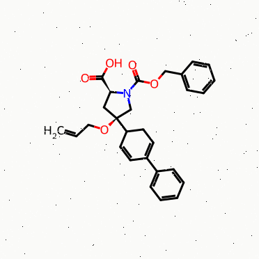 C=CCO[C@@]1(C2C=CC(c3ccccc3)=CC2)C[C@@H](C(=O)O)N(C(=O)OCc2ccccc2)C1